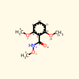 CONC(=O)c1c(OC)cccc1OC